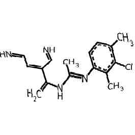 C=C(N/C(C)=N/c1ccc(C)c(Cl)c1C)/C(C=N)=C/C=N